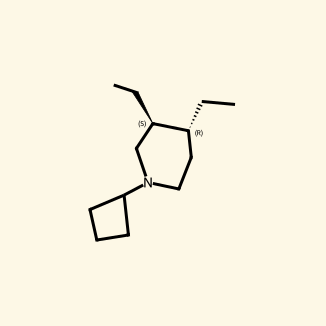 CC[C@@H]1CCN(C2CCC2)C[C@H]1CC